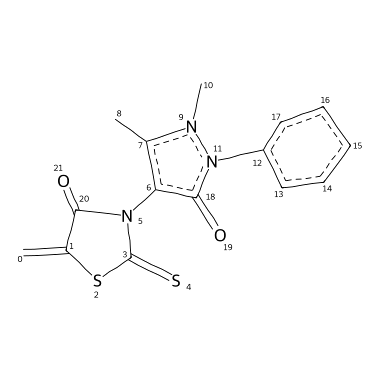 C=C1SC(=S)N(c2c(C)n(C)n(-c3ccccc3)c2=O)C1=O